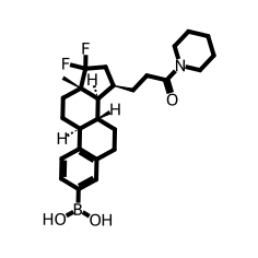 C[C@]12CC[C@@H]3c4ccc(B(O)O)cc4CC[C@H]3[C@@H]1[C@H](CCC(=O)N1CCCCC1)CC2(F)F